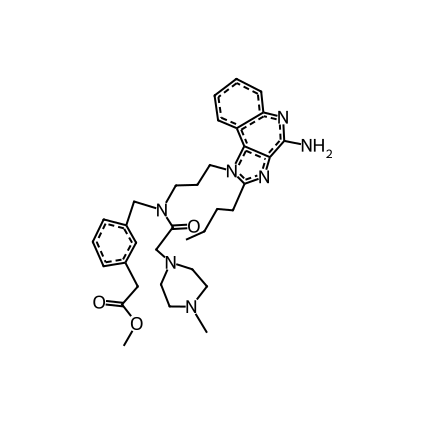 CCCCc1nc2c(N)nc3ccccc3c2n1CCCN(Cc1cccc(CC(=O)OC)c1)C(=O)CN1CCN(C)CC1